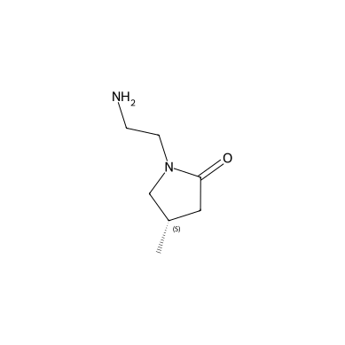 C[C@H]1CC(=O)N(CCN)C1